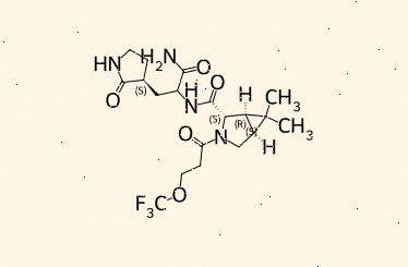 CC1(C)[C@@H]2[C@@H](C(=O)NC(C[C@@H]3CCNC3=O)C(N)=O)N(C(=O)CCOC(F)(F)F)C[C@@H]21